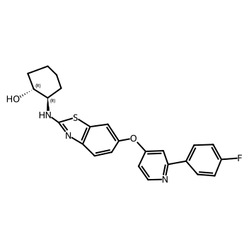 O[C@@H]1CCCC[C@H]1Nc1nc2ccc(Oc3ccnc(-c4ccc(F)cc4)c3)cc2s1